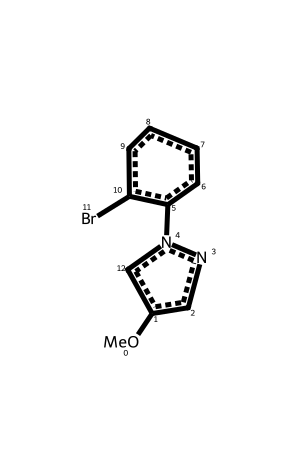 COc1cnn(-c2ccccc2Br)c1